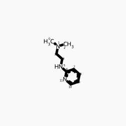 CN(C)CCNc1cc[c]cn1